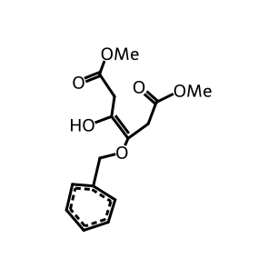 COC(=O)CC(O)=C(CC(=O)OC)OCc1ccccc1